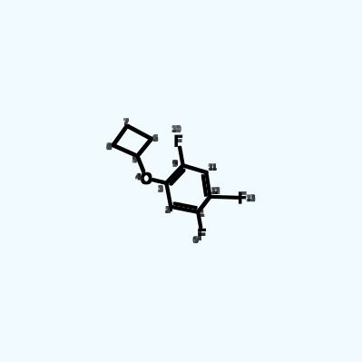 Fc1[c]c(OC2CCC2)c(F)cc1F